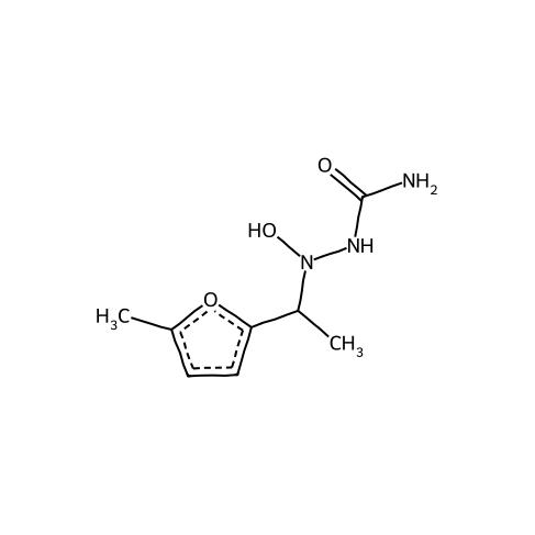 Cc1ccc(C(C)N(O)NC(N)=O)o1